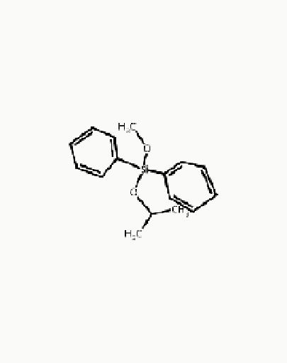 CO[Si](OC(C)C)(c1ccccc1)c1ccccc1